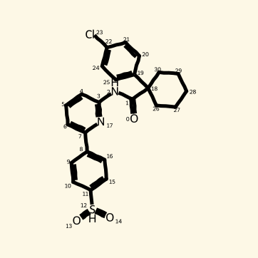 O=C(Nc1cccc(-c2ccc([SH](=O)=O)cc2)n1)C1(c2ccc(Cl)cc2)CCCCC1